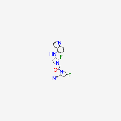 N#CC1C[C@H](F)CN1C(=O)CN1CC[C@H](Nc2c(F)ccc3ncccc23)C1